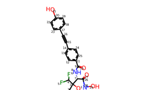 COC(C)(C(F)F)[C@H](NC(=O)c1ccc(C#Cc2ccc(O)cc2)cc1)C(=O)NO